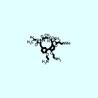 CNCCC(=O)N(C)[C@@H]1C(=O)N[C@@H](C)C(=O)N[C@H](C(=O)N[C@@H](C)C(C)=O)Cc2ccc(OCCN)c(c2)-c2cc1ccc2OCCN